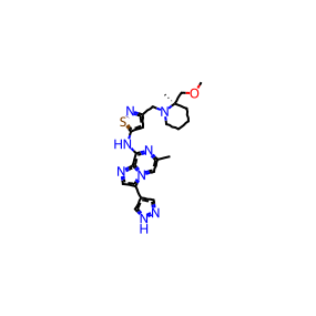 COC[C@@]1(C)CCCCN1Cc1cc(Nc2nc(C)cn3c(-c4cn[nH]c4)cnc23)sn1